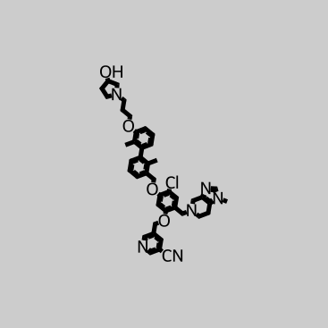 Cc1c(COc2cc(OCc3cncc(C#N)c3)c(CN3CCc4c(ncn4C)C3)cc2Cl)cccc1-c1cccc(OCCCN2CCC(O)C2)c1C